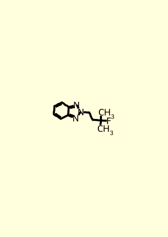 CC(C)(F)CCn1nc2ccccc2n1